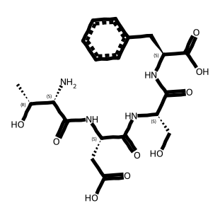 C[C@@H](O)[C@H](N)C(=O)N[C@@H](CC(=O)O)C(=O)N[C@@H](CO)C(=O)N[C@@H](Cc1ccccc1)C(=O)O